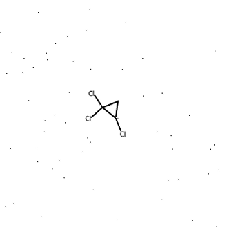 Cl[C]1CC1(Cl)Cl